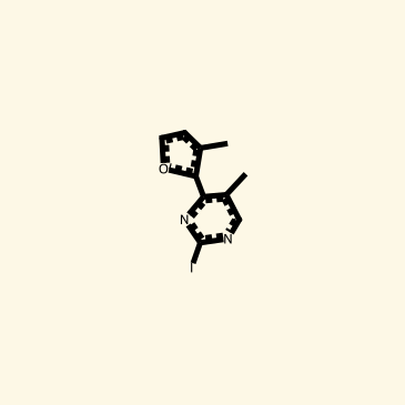 Cc1cnc(I)nc1-c1occc1C